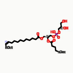 CCCCCCCC/C=C\CCCCCCCCCC(=O)OC[C@H](COP(=O)(O)OC[C@@H](O)CO)OC(=O)CCCCCCCCCCCCC